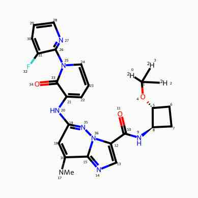 [2H]C([2H])([2H])O[C@@H]1CC[C@H]1NC(=O)c1cnc2c(NC)cc(Nc3cccn(-c4ncccc4F)c3=O)nn12